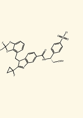 CCS(=O)(=O)c1ccc([C@H](COC)NC(=O)c2ccc3c(c2)nc(C2(F)CC2)n3Cc2cccc3c2OC(F)(F)O3)cc1